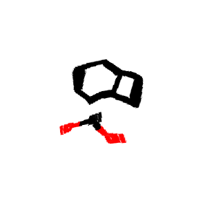 C1=Cc2ccccc21.OBO